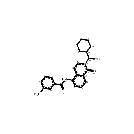 Cc1cccc(C(=O)Nc2cccc3c(=O)n(C(O)C4CCCCC4)ccc23)c1